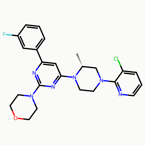 C[C@@H]1CN(c2ncccc2Cl)CCN1c1cc(-c2cccc(F)c2)nc(N2CCOCC2)n1